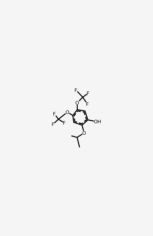 CC(C)Oc1cc(OC(F)(F)F)c(OC(F)(F)F)cc1O